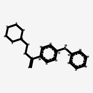 C=C(CCC1CCCCC1)c1ccc(Sc2ccccc2)cc1